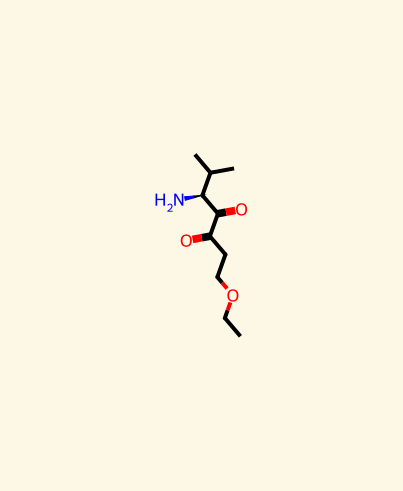 CCOCCC(=O)C(=O)[C@@H](N)C(C)C